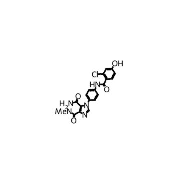 CNC(=O)c1ncn(-c2ccc(NC(=O)c3ccc(O)cc3Cl)cc2)c1C(N)=O